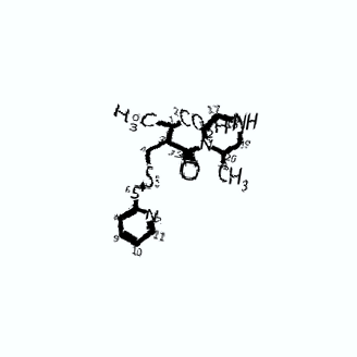 CC(C(=O)O)C(CSSc1ccccn1)C(=O)N1CCNCC1C